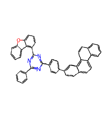 c1ccc(-c2nc(-c3ccc(-c4ccc5ccc6c7ccccc7ccc6c5c4)cc3)nc(-c3cccc4oc5ccccc5c34)n2)cc1